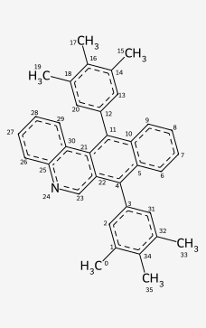 Cc1cc(-c2c3ccccc3c(-c3cc(C)c(C)c(C)c3)c3c2cnc2ccccc23)cc(C)c1C